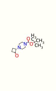 CC(C)(C)OC(=O)N1CCN([C@H]2CCC2=O)CC1